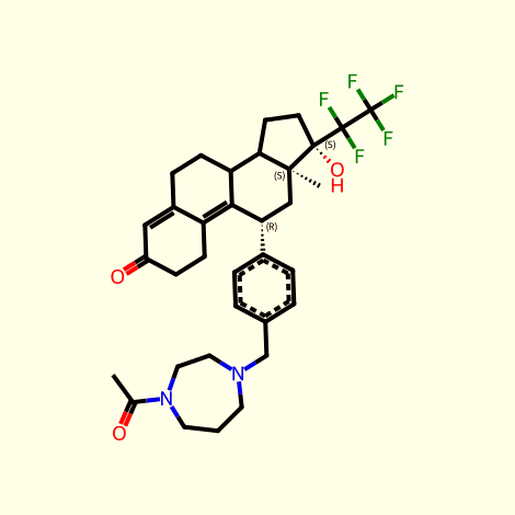 CC(=O)N1CCCN(Cc2ccc([C@H]3C[C@@]4(C)C(CC[C@@]4(O)C(F)(F)C(F)(F)F)C4CCC5=CC(=O)CCC5=C43)cc2)CC1